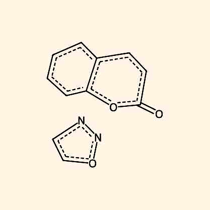 O=c1ccc2ccccc2o1.c1conn1